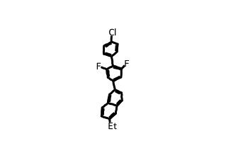 CCc1ccc2cc(-c3cc(F)c(-c4ccc(Cl)cc4)c(F)c3)ccc2c1